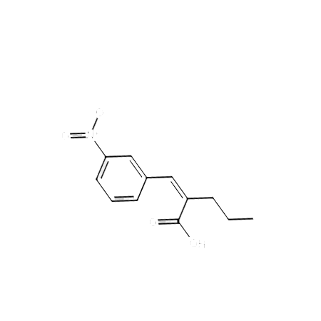 CCCC(=Cc1cccc([N+](=O)[O-])c1)C(=O)O